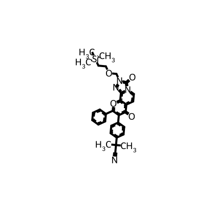 CC(C)(C#N)c1ccc(-c2c(-c3ccccc3)oc3c(ccn4c(=O)n(COCC[Si](C)(C)C)nc34)c2=O)cc1